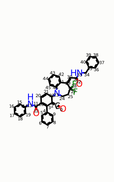 O=C=C1C(c2ccccc2)=C(C(=O)Nc2ccccc2)C=CC1N1CCC(F)(F)C(=CC(=O)NCc2ccccc2)c2ccccc21